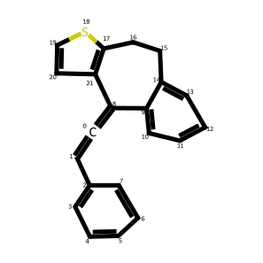 C(=Cc1ccccc1)=C1c2ccccc2CCc2sccc21